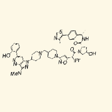 CNc1nn(C2CCN(CC3CCN(c4cc(C(C(=O)N5C[C@H](O)C[C@H]5C(=O)N[C@@H](C)c5ccc(-c6scnc6C)cc5)C(C)C)on4)CC3)CC2)c2cc(-c3ccccc3O)nnc12